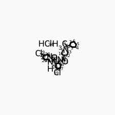 CC(c1ccccc1)N1CCC(C(=O)Nc2ccc(Cl)cc2C(=O)Nc2ccc(Cl)cn2)CC1.Cl